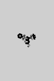 COc1cnc2c(c1)c(B1OC(C)(C)C(C)(C)O1)cn2S(=O)(=O)c1ccccc1